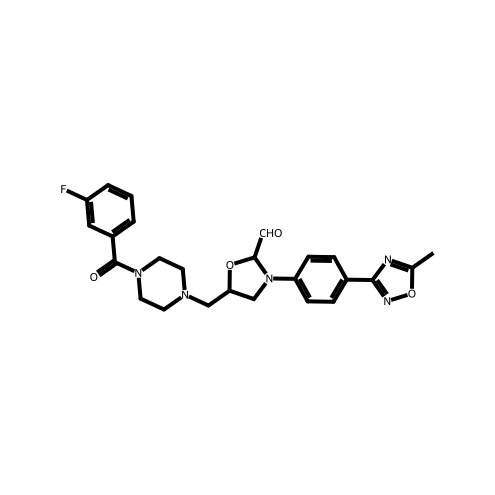 Cc1nc(-c2ccc(N3CC(CN4CCN(C(=O)c5cccc(F)c5)CC4)OC3C=O)cc2)no1